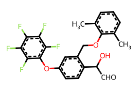 Cc1cccc(C)c1OCc1cc(Oc2c(F)c(F)c(F)c(F)c2F)ccc1C(O)C=O